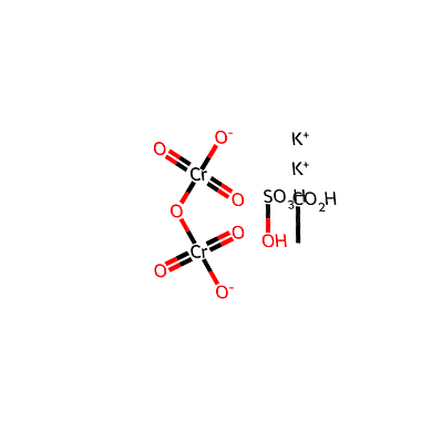 CC(=O)O.O=S(=O)(O)O.[K+].[K+].[O]=[Cr](=[O])([O-])[O][Cr](=[O])(=[O])[O-]